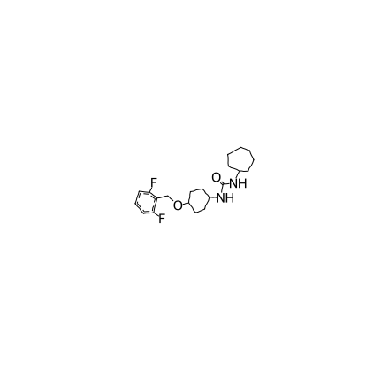 O=C(NC1CCCCCC1)NC1CCC(OCc2c(F)cccc2F)CC1